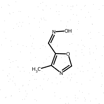 Cc1ncoc1/C=N\O